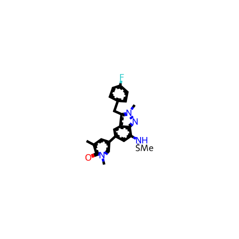 CSNc1cc(-c2cc(C)c(=O)n(C)c2)cc2c(Cc3ccc(F)cc3)n(C)nc12